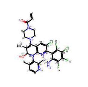 C=CC(=O)N1CCN(C2=C(C#N)C(O)N(c3c(C)ccnc3C(C)C)c3nc(-c4c(N)c(F)c(F)c(Cl)c4F)c(Cl)cc32)CC1